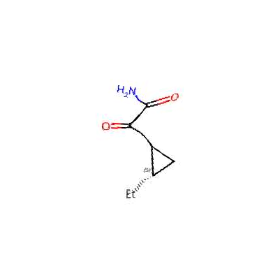 CC[C@H]1CC1C(=O)C(N)=O